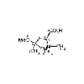 COC(C)(C)C[C@@H](C(=O)O)N(C)C